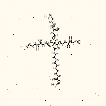 CCCNC(=O)CCOCC(COCCC(=O)NCCCN)(COCCC(=O)NCCCN)NC(=O)CCCCCCCCCCC(=O)OC